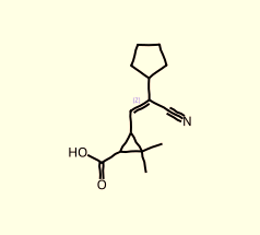 CC1(C)C(/C=C(\C#N)C2CCCC2)C1C(=O)O